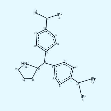 CC(C)C(c1ccc(C(c2ccc(C(C(C)C)C(C)C)cc2)C2CCCN2)cc1)C(C)C